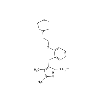 CCOC(=O)c1nn(C)c(C)c1Cc1ccccc1OCCN1CCOCC1